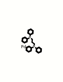 [Pd].c1ccc(P(CCCP(c2ccccc2)c2ccccc2)c2ccccc2)cc1